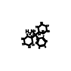 NC(c1ccccc1)(C1CCCCC1)C1CCCCC1